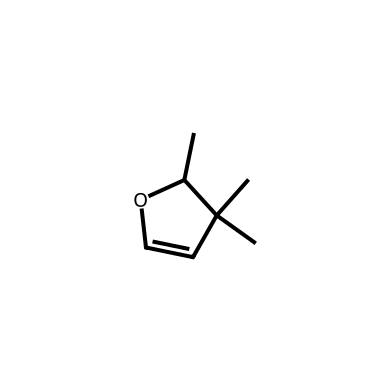 CC1OC=CC1(C)C